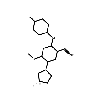 COC1CC(NC2CCC(F)CC2)C(C=N)CC1N1CC[C@H](C)C1